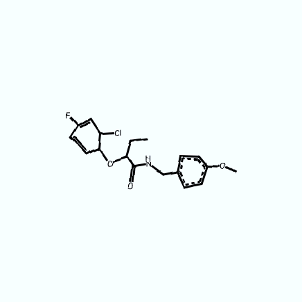 CCC(OC1C=CC(F)=CC1Cl)C(=O)NCc1ccc(OC)cc1